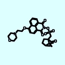 CC1(C)C2CCC1(CS(=O)(=O)ON1C(=O)c3cccc4c(OCCN5CCOCC5)ccc(c34)C1=O)C(=O)C2